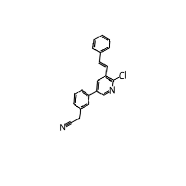 N#CCc1cccc(-c2cnc(Cl)c(C=Cc3ccccc3)c2)c1